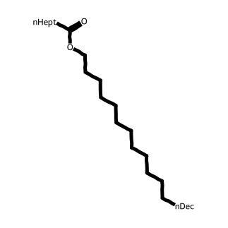 CCCCCCCCCCCCCCCCCCCCCCOC(=O)CCCCCCC